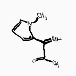 Cn1cccc1C(=N)C(=O)O